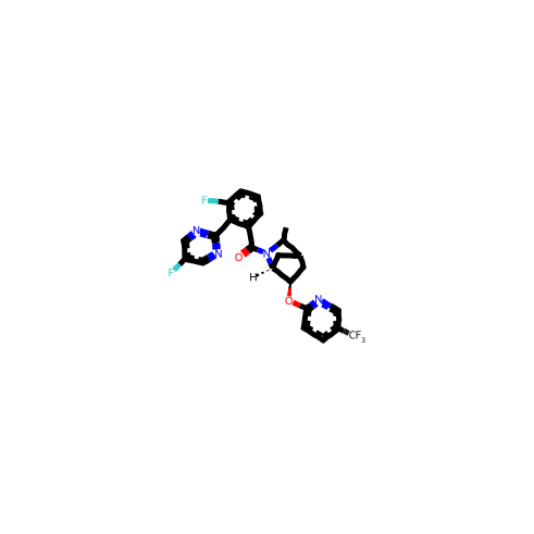 CC1C2C[C@@H](Oc3ccc(C(F)(F)F)cn3)[C@H](C2)N1C(=O)c1cccc(F)c1-c1ncc(F)cn1